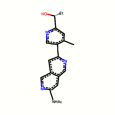 CC[C@@H](O)c1cc(C)c(-c2cc3cnc(NC(C)=O)cc3cn2)cn1